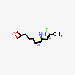 C/C(F)=C/C(=N)/C=C\CCCC1COC1